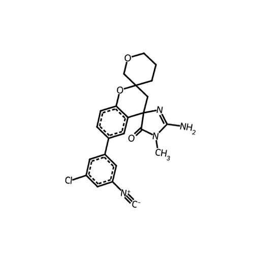 [C-]#[N+]c1cc(Cl)cc(-c2ccc3c(c2)C2(CC4(CCCOC4)O3)N=C(N)N(C)C2=O)c1